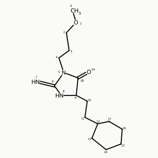 COCCCN1C(=N)NC(CCC2CCCCC2)C1=O